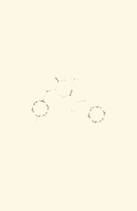 COC(=O)[C@H](Cc1ccc(O)cc1)NC(=O)[C@@H](N)Cc1ccccc1.Cl